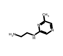 Cc1cncc(NCCN)n1